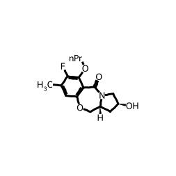 CCCOc1c(F)c(C)cc2c1C(=O)N1C[C@@H](O)C[C@@H]1CO2